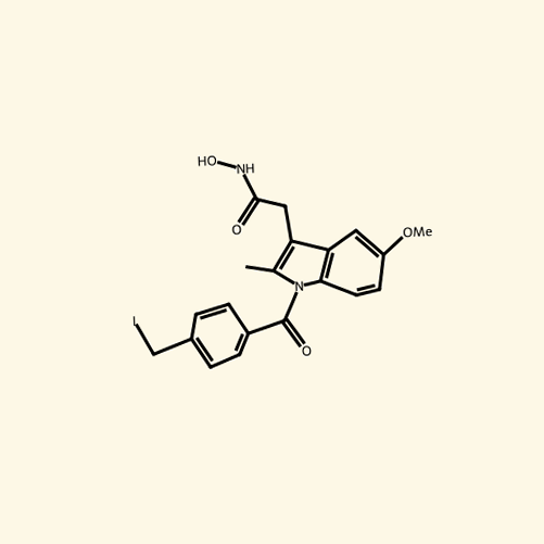 COc1ccc2c(c1)c(CC(=O)NO)c(C)n2C(=O)c1ccc(CI)cc1